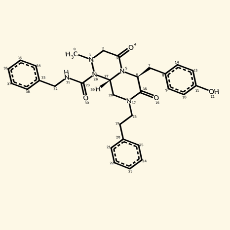 CN1CC(=O)N2[C@@H](Cc3ccc(O)cc3)C(=O)N(CCc3ccccc3)C[C@@H]2N1C(=O)NCc1ccccc1